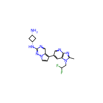 Cc1nc2ncc(-c3ccn4nc(N[C@H]5C[C@@H](N)C5)ncc34)cc2n1CC(F)F